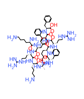 C[C@H](NC(=O)[C@H](CCCCN)NC(=O)[C@H](CCCNC(=N)N)NC(=O)[C@H](Cc1ccccc1)NC(=O)[C@@H](N)CCCCN)C(=O)N[C@@H](Cc1ccccc1)C(=O)N[C@@H](CCCCN)C(=O)N[C@@H](CCCNC(=N)N)C(=O)N[C@@H](Cc1ccccc1)C(=O)N[C@@H](Cc1ccccc1)C(=O)O